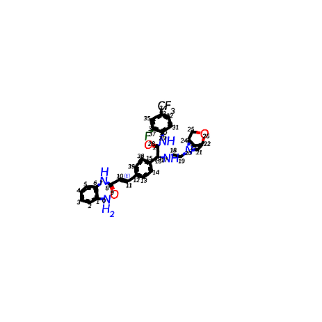 Nc1ccccc1NC(=O)/C=C/c1ccc([C@H](NCCN2CC3CC2CO3)C(=O)Nc2ccc(C(F)(F)F)cc2F)cc1